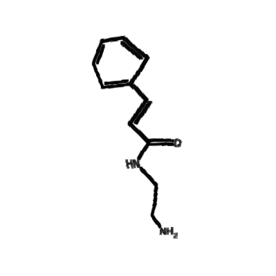 NCCNC(=O)/C=C/c1ccccc1